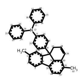 Cc1ccc2c(c1)C1(c3ccc(N(c4ccccc4)c4ccccc4)cc3)CC=Cc3c(C)ccc-2c31